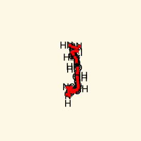 N#Cc1cc(Cl)cc2c1C[C@H](N1CCNCC1)[C@H]2Oc1ccc(S(=O)(=O)N[C@H]2CCN(CCOCCNC(=O)NCCCCNC(=O)NCCOCCN3CC[C@H](NS(=O)(=O)c4ccc(O[C@H]5c6cc(Cl)cc(C#N)c6C[C@@H]5N5CCNCC5)cc4)C3)C2)cc1